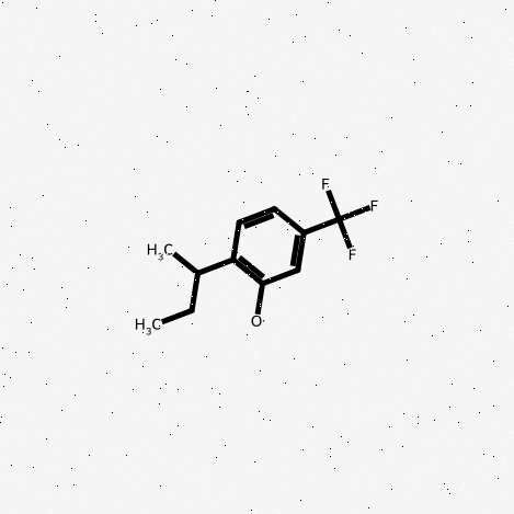 CCC(C)c1ccc(C(F)(F)F)cc1[O]